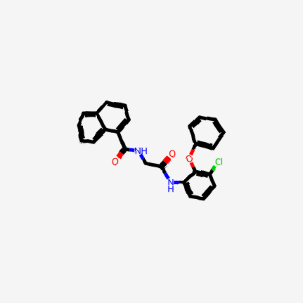 O=C(CNC(=O)c1cccc2ccccc12)Nc1cccc(Cl)c1Oc1ccccc1